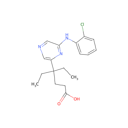 CCC(CC)(CCC(=O)O)c1cncc(Nc2ccccc2Cl)n1